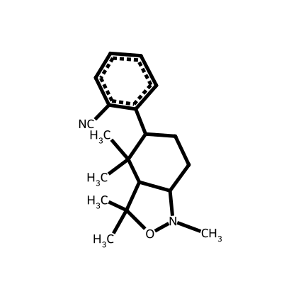 CN1OC(C)(C)C2C1CCC(c1ccccc1C#N)C2(C)C